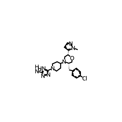 Cn1nccc1[C@H]1CN(C2CCN(c3nnc(N)[nH]3)CC2)[C@@H](Cc2ccc(Cl)cc2)CO1